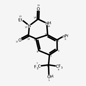 CCCc1cc(C(O)(C(F)(F)F)C(F)(F)F)cc2c(=O)n(CC)c(=O)[nH]c12